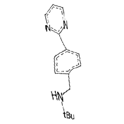 CC(C)(C)NCc1ccc(-c2ncccn2)cc1